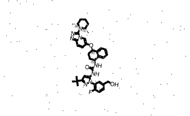 C[C@@H]1CCC[C@H](C)N1c1nnc2ccc(O[C@@H]3CC[C@H](NC(=O)Nc4cc(C(C)(C)C)nn4-c4cc(CO)ccc4F)c4ccccc43)cn12